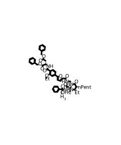 CCCCC[C@@H](C(=O)NCNC(=O)c1ccc(-c2ccc(C(=O)N[C@@H](CC(=O)OCc3ccccc3)C(=O)OCc3ccccc3)c(OCC)c2)o1)[C@@H](CC)N(C=O)OC(=O)NC(C)(C)c1ccccc1